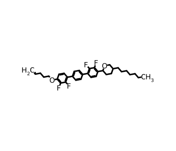 C=CCCCOc1ccc(-c2ccc(-c3ccc(C4CCC(CCCCCCC)CO4)c(F)c3F)cc2)c(F)c1F